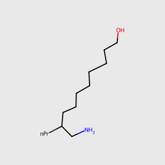 CCCC(CN)CCCCCCCCO